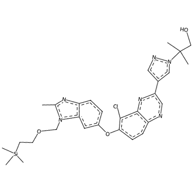 Cc1nc2ccc(Oc3ccc4ncc(-c5cnn(C(C)(C)CO)c5)nc4c3Cl)cc2n1COCC[Si](C)(C)C